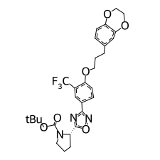 CC(C)(C)OC(=O)N1CCC[C@H]1c1nc(-c2ccc(OCCCc3ccc4c(c3)OCCO4)c(C(F)(F)F)c2)no1